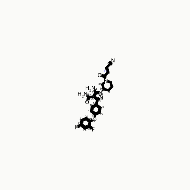 N#C/C=C/C(=O)N1CCC[C@@H](n2nc(-c3ccc(Oc4ccc(F)cc4F)cc3)c(C(N)=O)c2N)C1